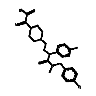 CCC(=O)C(=N)C1CCN(CCC(C(=O)N(C)Cc2ccc(Cl)cc2)c2ccc(F)cc2)CC1